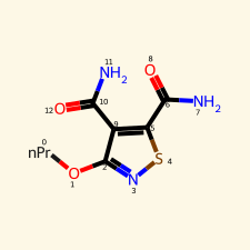 CCCOc1nsc(C(N)=O)c1C(N)=O